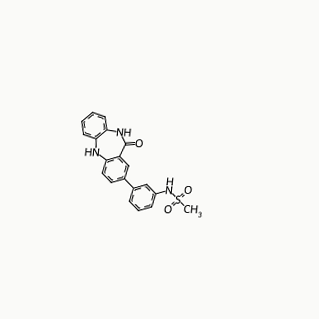 CS(=O)(=O)Nc1cccc(-c2ccc3c(c2)C(=O)Nc2ccccc2N3)c1